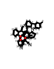 Cc1ccc2c(c1)c1ccccc1n2-c1ccccc1-c1cncc(-c2ccccc2-n2c3ccccc3c3cc(C)ccc32)c1-c1ccc(C#N)c(C#N)c1